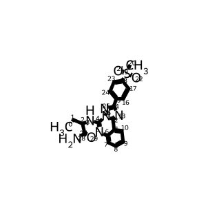 CCC(Nc1nc2ccccc2c2nc(-c3ccc(S(C)(=O)=O)cc3)nn12)C(N)=O